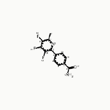 Cc1nc(-c2ccc(C(N)=O)cc2)c(F)c(F)c1F